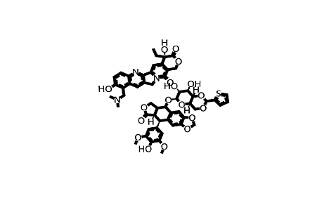 CC[C@@]1(O)C(=O)OCc2c1cc1n(c2=O)Cc2cc3c(CN(C)C)c(O)ccc3nc2-1.COc1cc([C@@H]2c3cc4c(cc3C(O[C@@H]3O[C@@H]5COC(c6cccs6)O[C@H]5[C@H](O)[C@H]3O)C3COC(=O)[C@@H]32)OCO4)cc(OC)c1O